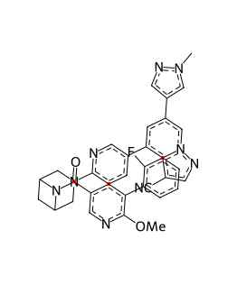 COc1ncc(C(=O)N2C3CC2CN(c2ccc(-c4cc(-c5cnn(C)c5)cn5ncc(C#N)c45)cn2)C3)cc1-c1ccccc1F